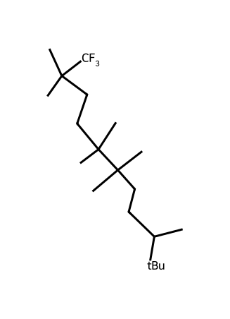 CC(CCC(C)(C)C(C)(C)CCC(C)(C)C(F)(F)F)C(C)(C)C